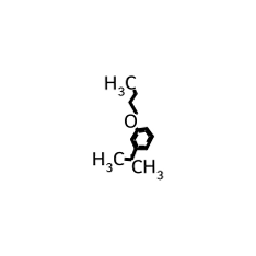 CCCCOc1cccc([C](C)C)c1